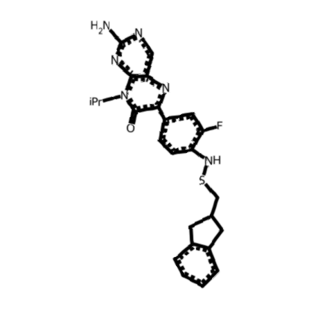 CC(C)n1c(=O)c(-c2ccc(NSCC3Cc4ccccc4C3)c(F)c2)nc2cnc(N)nc21